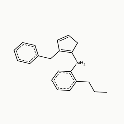 CCCc1ccccc1[SiH2]C1=C(Cc2ccccc2)C=CC1